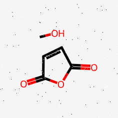 CO.O=C1C=CC(=O)O1